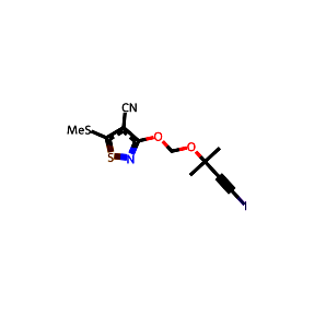 CSc1snc(OCOC(C)(C)C#CI)c1C#N